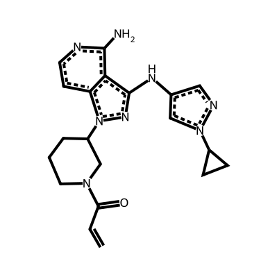 C=CC(=O)N1CCCC(n2nc(Nc3cnn(C4CC4)c3)c3c(N)nccc32)C1